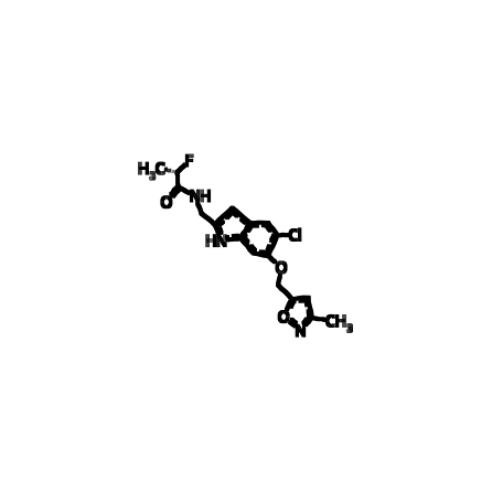 Cc1cc(COc2cc3[nH]c(CNC(=O)[C@H](C)F)cc3cc2Cl)on1